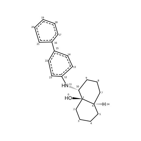 O[C@]12CCCC[C@@H]1CCC[C@H]2Nc1ccc(-c2ccccc2)cc1